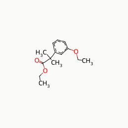 CCOC(=O)C(C)(C)c1cccc(OCC)c1